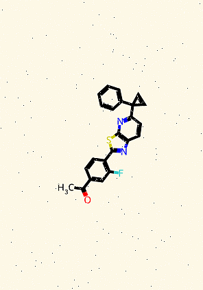 CC(=O)c1ccc(-c2nc3ccc(C4(c5ccccc5)C=C4)nc3s2)c(F)c1